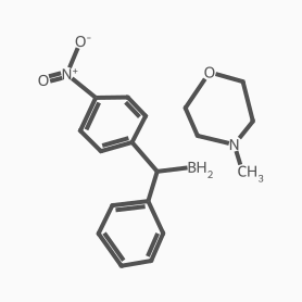 BC(c1ccccc1)c1ccc([N+](=O)[O-])cc1.CN1CCOCC1